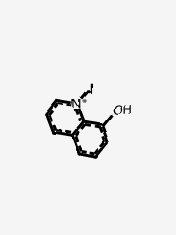 Oc1cccc2ccc[n+](I)c12